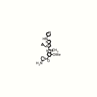 COc1cc(C(=O)N2CCC[C@@H](N)C2)cc2nc(-c3cc4ccc(Nc5ccncc5)nc4n3CC3CC3)n(C)c12